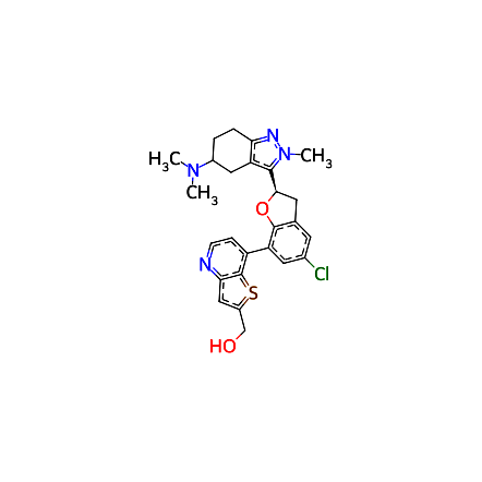 CN(C)C1CCc2nn(C)c([C@H]3Cc4cc(Cl)cc(-c5ccnc6cc(CO)sc56)c4O3)c2C1